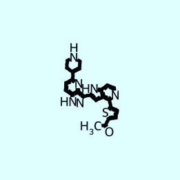 CC(=O)c1ccc(-c2nccc3[nH]c(-c4n[nH]c5ccc(C6=CCNCC6)nc45)cc23)s1